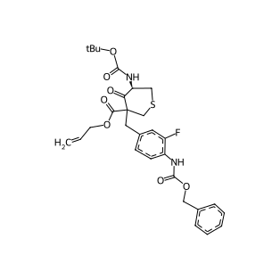 C=CCOC(=O)C1(Cc2ccc(NC(=O)OCc3ccccc3)c(F)c2)CSC[C@H](NC(=O)OC(C)(C)C)C1=O